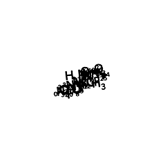 CN1CC[C@@H](Nc2cccc3c(CC(F)(F)F)c(-c4noc(CNC(=O)C5CC5)n4)nn23)[C@@H](F)C1